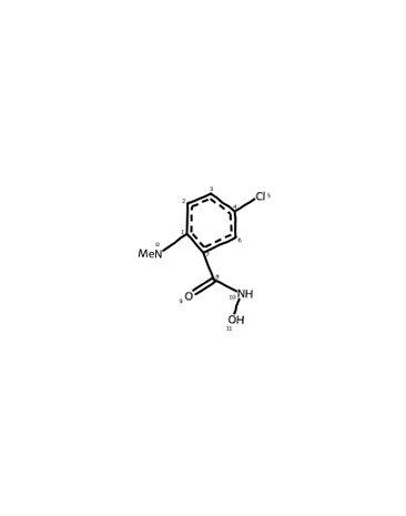 CNc1ccc(Cl)cc1C(=O)NO